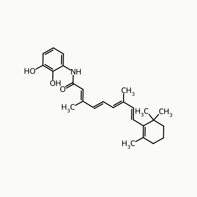 CC(C=CC1=C(C)CCCC1(C)C)=CC=CC(C)=CC(=O)Nc1cccc(O)c1O